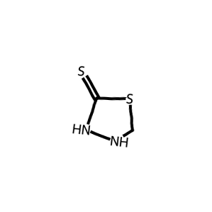 S=C1NNCS1